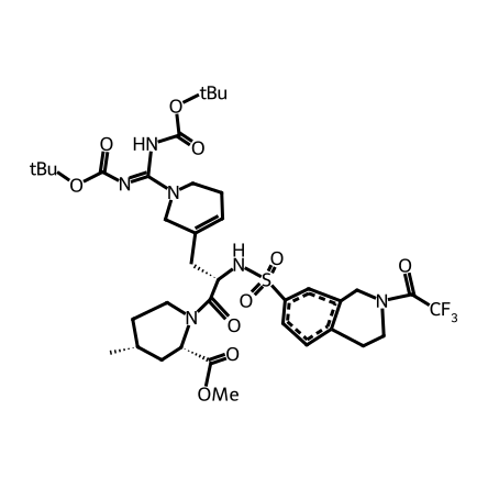 COC(=O)[C@@H]1C[C@H](C)CCN1C(=O)[C@H](CC1=CCCN(C(=NC(=O)OC(C)(C)C)NC(=O)OC(C)(C)C)C1)NS(=O)(=O)c1ccc2c(c1)CN(C(=O)C(F)(F)F)CC2